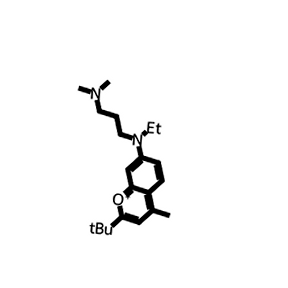 CCN(CCCN(C)C)c1ccc2c(C)cc(C(C)(C)C)[o+]c2c1